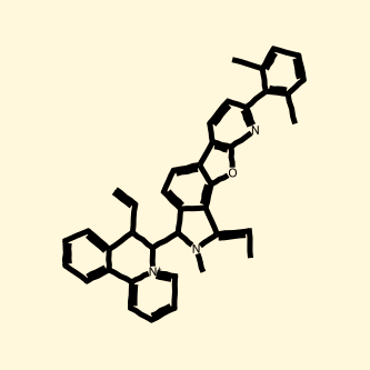 C=CC1c2ccccc2-c2cccc[n+]2C1C1c2ccc3c(oc4nc(-c5c(C)cccc5C)ccc43)c2/C(=C/C)N1C